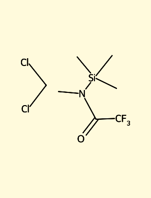 CN(C(=O)C(F)(F)F)[Si](C)(C)C.ClCCl